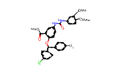 COC(=O)c1cc(NC(=O)Nc2ccc(OC)c(OC)c2)ccc1OC(c1ccc(Cl)cc1)c1ccc(C(F)(F)F)cc1